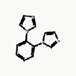 c1ccc(-n2ccnc2)c(-n2ccnc2)c1